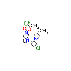 CCC1CCN(c2cc(Cl)ccc2CN2CCCC23CCN(C(=O)OC(C)C(F)(F)F)CC3)CC1